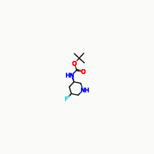 CC(C)(C)OC(=O)N[C@H]1CNC[C@@H](F)C1